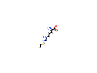 CCSN=CNCCC[C@@H](N)C(=O)O